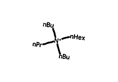 CCCCCC[N+](CCC)(CCCC)CCCC